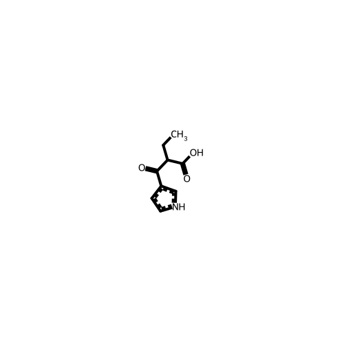 CCC(C(=O)O)C(=O)c1cc[nH]c1